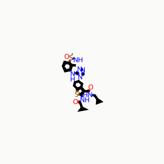 Cc1c(Nc2nncn2[C@H]2CCc3sc(NC(=O)C4CC4)c(C(=O)NCC4CC4)c3C2)cccc1[S@](C)(=N)=O